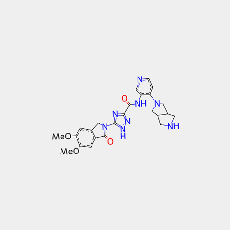 COc1cc2c(cc1OC)C(=O)N(c1nc(C(=O)Nc3cnccc3N3CC4CNCC4C3)n[nH]1)C2